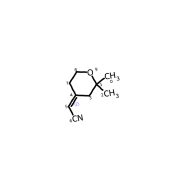 CC1(C)C/C(=C\C#N)CCO1